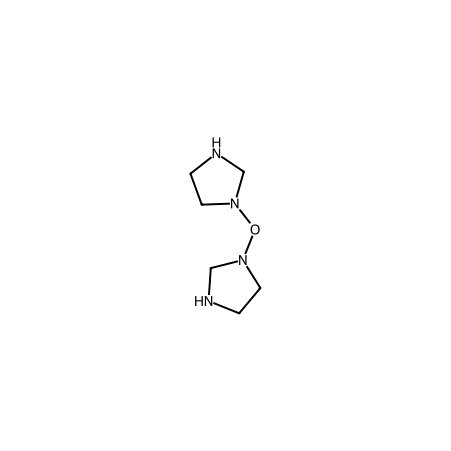 C1CN(ON2CCNC2)CN1